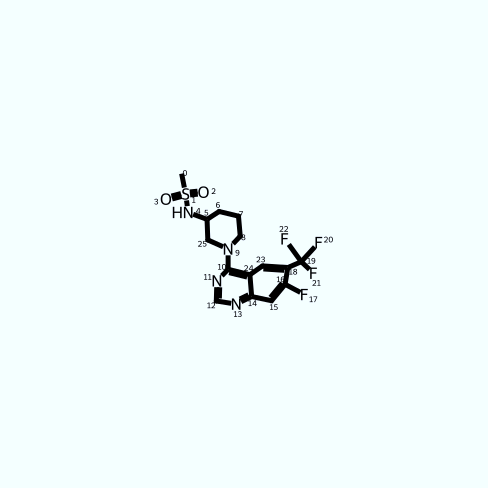 CS(=O)(=O)NC1CCCN(c2ncnc3cc(F)c(C(F)(F)F)cc23)C1